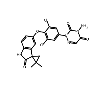 CC1(C)CC12C(=O)Nc1ccc(Oc3c(Cl)cc(-n4ncc(=O)n(N)c4=O)cc3Cl)cc12